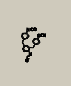 N#COc1ccc(Cc2cc(Cc3ccc(N=C=O)cc3)ccc2N=C=O)cc1